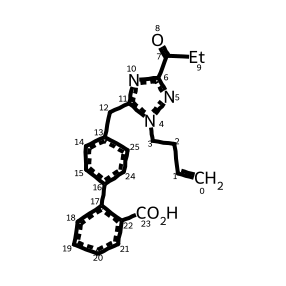 C=CCCn1nc(C(=O)CC)nc1Cc1ccc(-c2ccccc2C(=O)O)cc1